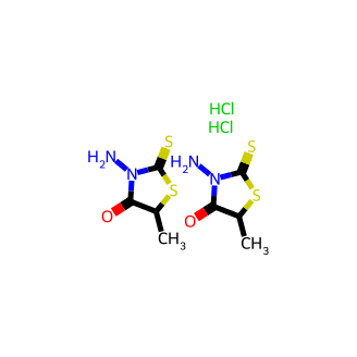 CC1SC(=S)N(N)C1=O.CC1SC(=S)N(N)C1=O.Cl.Cl